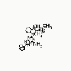 Cc1cc(CN(C)C2CCCCC2N(C)c2nc(N)n3nc(-c4ccco4)nc3n2)no1